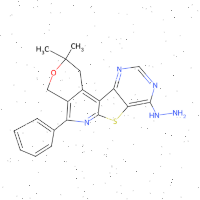 CC1(C)Cc2c(c(-c3ccccc3)nc3sc4c(NN)ncnc4c23)CO1